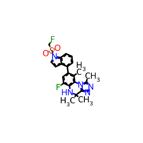 Cc1c(-c2cccc3c2ccn3S(=O)(=O)CF)cc(F)c2c1-n1c(C)nnc1C(C)(C)N2